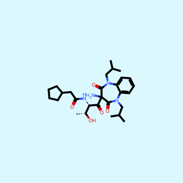 CC(C)CN1C(=O)C(N)(C(=O)[C@@H](NC(=O)CC2CCCC2)[C@@H](C)O)C(=O)N(CC(C)C)c2ccccc21